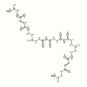 CC(O)CCC(=O)/C=C/C(=O)OCCC(C)CCC(=O)OC(=O)CCC(=O)OC(=O)CCC(C)CCOC(=O)/C=C/C(=O)OCC(C)O